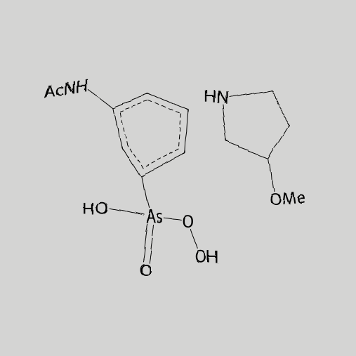 CC(=O)Nc1cccc([As](=O)(O)OO)c1.COC1CCNC1